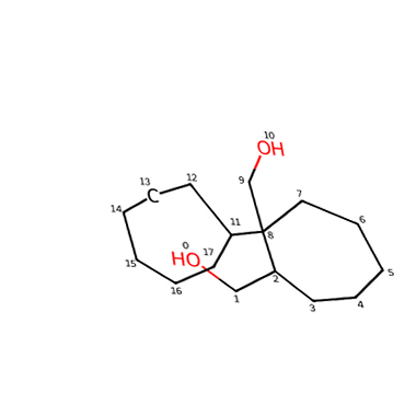 OCC1CCCCCC1(CO)C1CCCCCC1